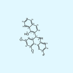 Oc1c(C(Nc2ccc(F)cn2)c2cc(Cl)cc(Cl)c2)ccc2cccnc12